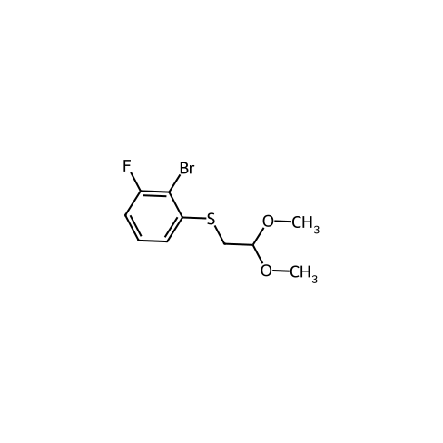 COC(CSc1cccc(F)c1Br)OC